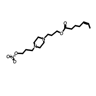 C/C=C\CCCC(=O)OCCCN1CCN(CCCO[N+](=O)[O-])CC1